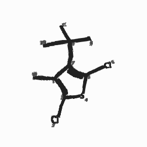 Cc1c(Cl)sc(Cl)c1C(C)(C)C